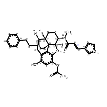 CC(=O)Oc1cc(O)c2c3c1O[C@@H]1[C@H](N(C)C(=O)/C=C/c4ccoc4)CC[C@H]4[C@@H](C2)N(CCc2ccccc2)CC[C@]314